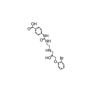 O=C(NCCNC[C@H](O)COc1ccccc1Br)Nc1ccc(C(=O)O)cc1